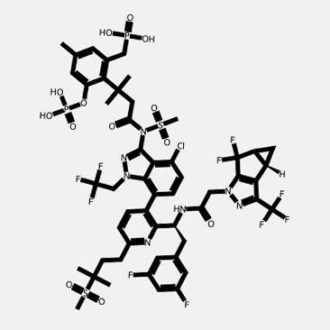 Cc1cc(CP(=O)(O)O)c(C(C)(C)CC(=O)N(c2nn(CC(F)(F)F)c3c(-c4ccc(CCC(C)(C)S(C)(=O)=O)nc4[C@H](Cc4cc(F)cc(F)c4)NC(=O)Cn4nc(C(F)(F)F)c5c4C(F)(F)C4C[C@H]54)ccc(Cl)c23)S(C)(=O)=O)c(OP(=O)(O)O)c1